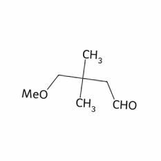 COCC(C)(C)CC=O